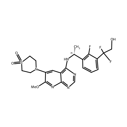 COc1nc2ncnc(N[C@H](C)c3cccc(C(F)(F)CO)c3F)c2cc1N1CCS(=O)(=O)CC1